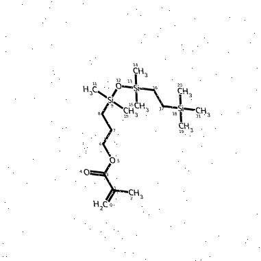 C=C(C)C(=O)OCCC[Si](C)(C)O[Si](C)(C)CC[Si](C)(C)C